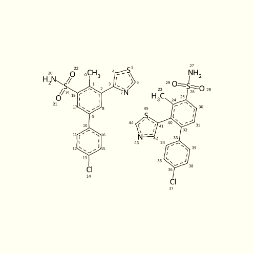 Cc1c(-c2cscn2)cc(-c2ccc(Cl)cc2)cc1S(N)(=O)=O.Cc1c(S(N)(=O)=O)ccc(-c2ccc(Cl)cc2)c1-c1cncs1